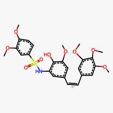 COc1ccc(S(=O)(=O)Nc2cc(/C=C\c3cc(OC)c(OC)c(OC)c3)cc(OC)c2O)cc1OC